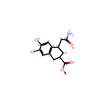 COC(=O)C1Cc2cc(Cl)c(Cl)cc2C(CC(N)=O)C1